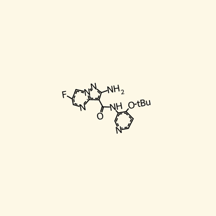 CC(C)(C)Oc1ccncc1NC(=O)c1c(N)nn2cc(F)cnc12